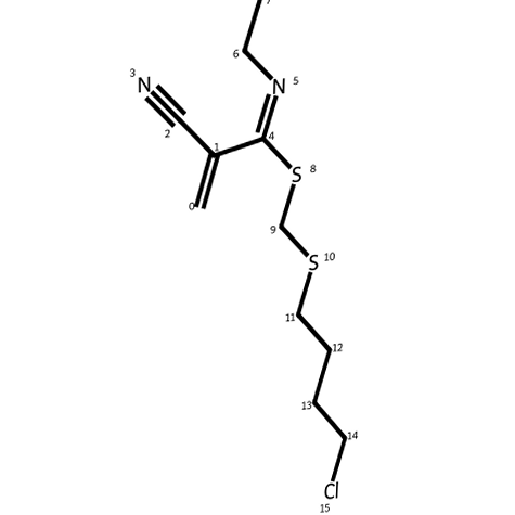 C=C(C#N)/C(=N\CC)SCSCCCCCl